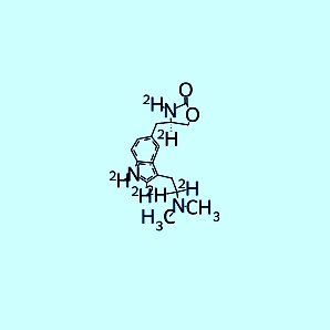 [2H]c1c(CC([2H])([2H])N(C)C)c2cc(C[C@]3([2H])COC(=O)N3[2H])ccc2n1[2H]